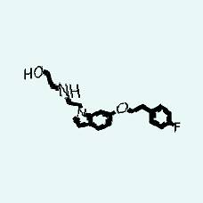 OCCNCCn1ccc2ccc(OCCc3ccc(F)cc3)cc21